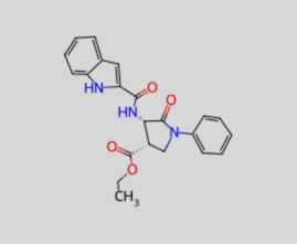 CCOC(=O)[C@H]1CN(c2ccccc2)C(=O)[C@H]1NC(=O)c1cc2ccccc2[nH]1